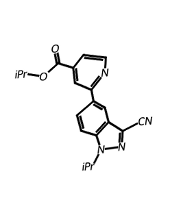 CC(C)OC(=O)c1ccnc(-c2ccc3c(c2)c(C#N)nn3C(C)C)c1